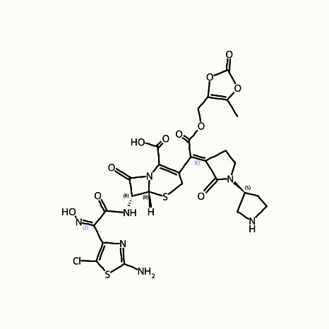 Cc1oc(=O)oc1COC(=O)/C(C1=C(C(=O)O)N2C(=O)[C@@H](NC(=O)/C(=N\O)c3nc(N)sc3Cl)[C@H]2SC1)=C1\CCN([C@H]2CCNC2)C1=O